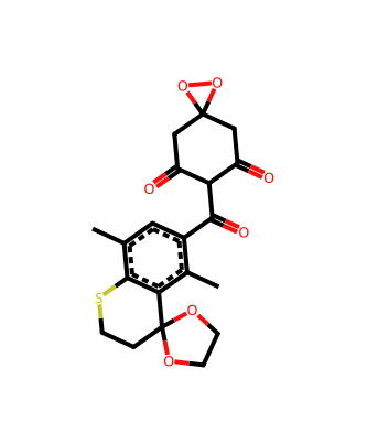 Cc1cc(C(=O)C2C(=O)CC3(CC2=O)OO3)c(C)c2c1SCCC21OCCO1